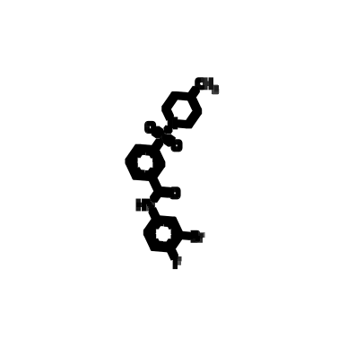 CC1CCN(S(=O)(=O)c2cccc(C(=O)Nc3ccc(F)c(Br)c3)c2)CC1